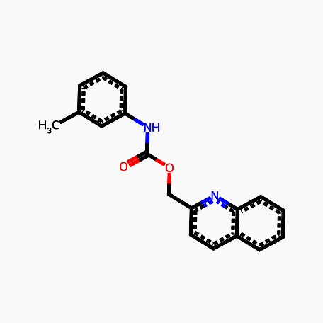 Cc1cccc(NC(=O)OCc2ccc3ccccc3n2)c1